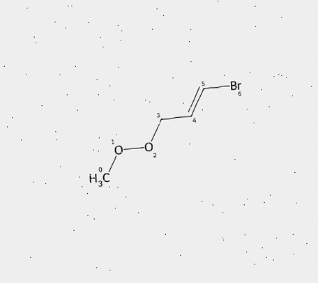 COOCC=CBr